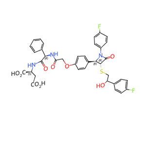 O=C(O)C[C@H](NC(=O)[C@H](NC(=O)COc1ccc([C@@H]2[C@@H](SCC(O)c3ccc(F)cc3)C(=O)N2c2ccc(F)cc2)cc1)c1ccccc1)C(=O)O